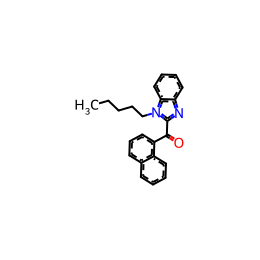 CCCCCn1c(C(=O)c2cccc3ccccc23)nc2ccccc21